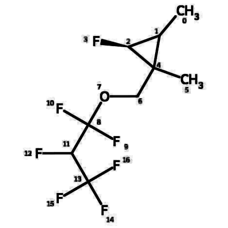 CC1[C@H](F)C1(C)COC(F)(F)C(F)C(F)(F)F